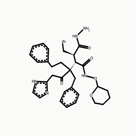 CC(C)C[C@@H](C(=O)NN)[C@H](C(=O)NOC1CCCCO1)C(CCc1ccccc1)(Cc1ccccc1)C(=O)Cc1ncc[nH]1